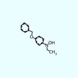 CCN(O)c1ccc(OCc2ccccc2)cc1